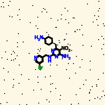 Nc1nc(NCc2cncc(Br)c2)nc(C[C@H]2CC[C@H](N)CC2)c1[N+](=O)[O-]